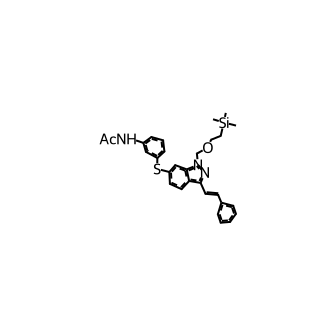 CC(=O)Nc1cccc(Sc2ccc3c(C=Cc4ccccc4)nn(COCC[Si](C)(C)C)c3c2)c1